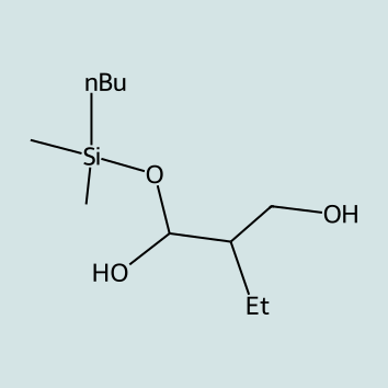 CCCC[Si](C)(C)OC(O)C(CC)CO